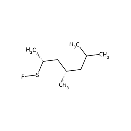 CC(C)C[C@H](C)C[C@@H](C)SF